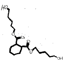 O=C(OCCCCCO)C1CCCCC1C(=O)OCCCCCO